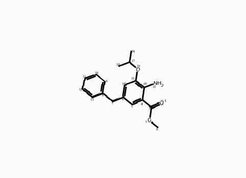 COC(=O)c1cc(Cc2ccccc2)cc(OC(C)C)c1N